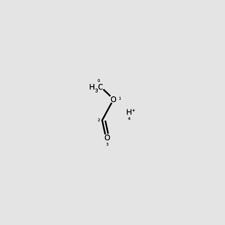 COC=O.[H+]